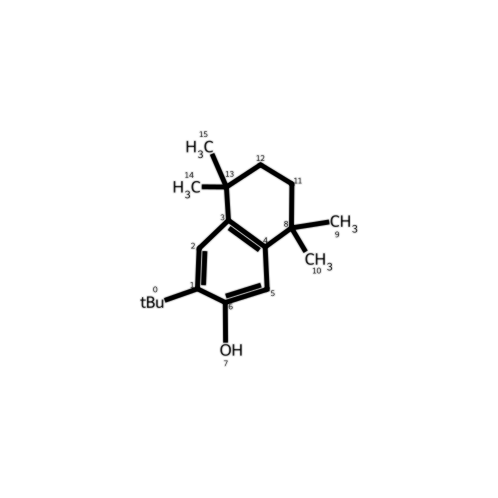 CC(C)(C)c1cc2c(cc1O)C(C)(C)CCC2(C)C